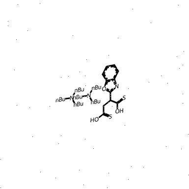 CCCCN(CCCC)CCCC.CCCCN(CCCC)CCCC.OC(=S)CC(C(O)=S)c1nc2ccccc2o1